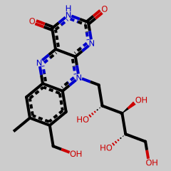 Cc1cc2nc3c(=O)[nH]c(=O)nc-3n(C[C@@H](O)[C@@H](O)[C@@H](O)CO)c2cc1CO